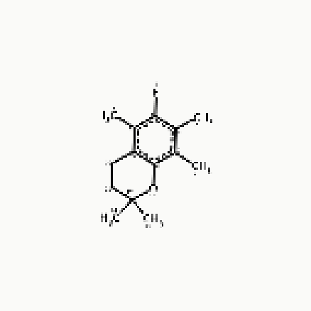 Cc1c(C)c2c(c(C)c1F)CCC(C)(C)O2